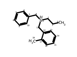 CCC[SiH](Cc1ccccc1)Cc1cc[c]cc1C